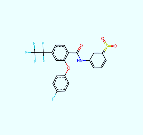 O=C(NC1=CC=CC(=S(=O)=O)C1)c1ccc(C(F)(F)C(F)(F)F)cc1Oc1ccc(F)cc1